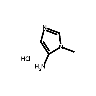 Cl.Cn1cncc1N